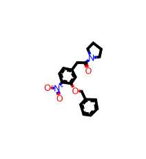 O=C(Cc1ccc([N+](=O)[O-])c(OCc2ccccc2)c1)N1CCCC1